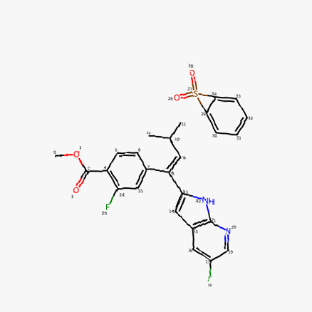 COC(=O)c1ccc(C(=CC(C)C)c2cc3cc(F)cnc3[nH]2)cc1F.O=S1(=O)c2ccccc21